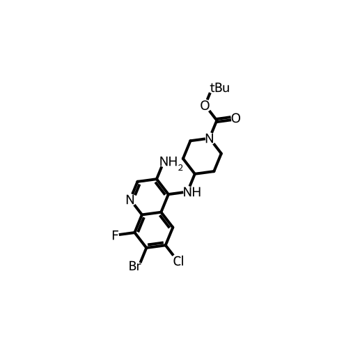 CC(C)(C)OC(=O)N1CCC(Nc2c(N)cnc3c(F)c(Br)c(Cl)cc23)CC1